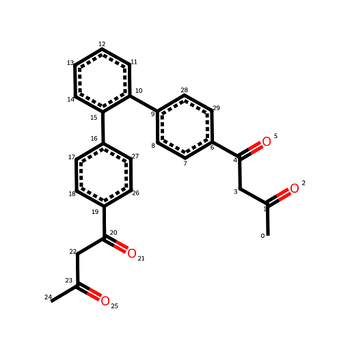 CC(=O)CC(=O)c1ccc(-c2ccccc2-c2ccc(C(=O)CC(C)=O)cc2)cc1